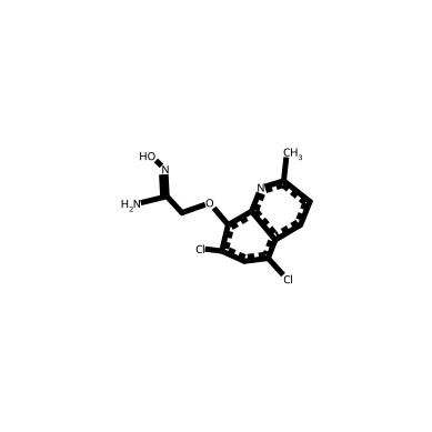 Cc1ccc2c(Cl)cc(Cl)c(OCC(N)=NO)c2n1